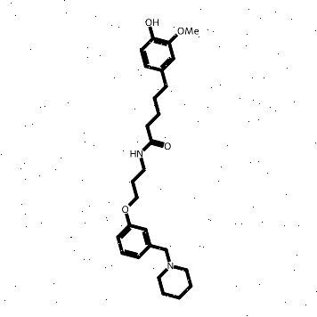 COc1cc(CCCCC(=O)NCCCOc2cccc(CN3CCCCC3)c2)ccc1O